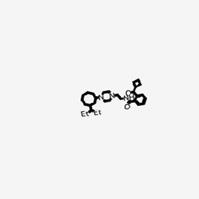 CCC(CC)C1CCCCCC(N2CCN(CCNC(=O)c3ccccc3C(=O)C3CCC3)CC2)C1